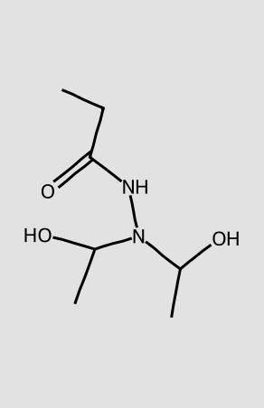 CCC(=O)NN(C(C)O)C(C)O